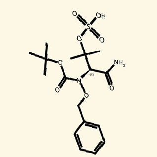 CC(C)(C)OC(=O)N(OCc1ccccc1)[C@H](C(N)=O)C(C)(C)OS(=O)(=O)O